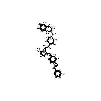 O=C1OC[C@H](Cc2ccc(OCc3ccccc3)cc2)N1CCC1CCN(C[C@H]2COc3ccccc3O2)CC1